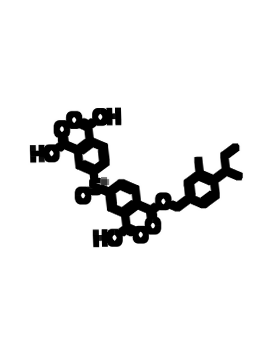 CCC(C)c1ccc(COC(=O)c2ccc([S+]([O-])c3ccc(C(=O)O)c(C(=O)O)c3)cc2C(=O)O)cc1C